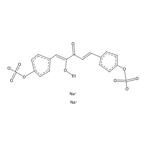 CCOC(=Cc1ccc(OS(=O)(=O)[O-])cc1)C(=O)C=Cc1ccc(OS(=O)(=O)[O-])cc1.[Na+].[Na+]